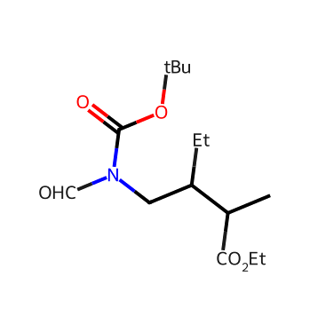 CCOC(=O)C(C)C(CC)CN(C=O)C(=O)OC(C)(C)C